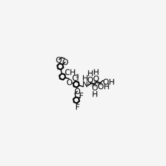 Cc1c(COc2cc(OCc3ccc(F)cc3F)c(CNC[C@H](O)[C@@H](O)[C@H](O)[C@H](O)CO)cc2Cl)cccc1-c1ccc2c(c1)OCCO2